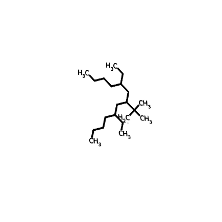 [CH2]C(C)(C)C(CC(CC)CCCC)CC(CC)CCCC